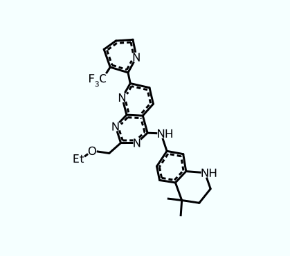 CCOCc1nc(Nc2ccc3c(c2)NCCC3(C)C)c2ccc(-c3ncccc3C(F)(F)F)nc2n1